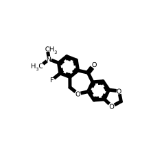 CN(C)c1ccc2c(c1F)COc1cc3c(cc1C2=O)OCO3